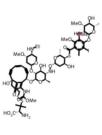 CCN[C@H]1CO[C@@H](O[C@H]2[C@H](O[C@H]3C#CC=CC#C[C@]4(O)CC(=O)C(NC(=O)OC)=C3/C4=C\CSSC(C)(C)[C@H](N)C(=O)O)O[C@H](C)[C@@H](NO[C@H]3C[C@H](O)[C@H](SC(=O)c4c(C)c(I)c(O[C@@H]5O[C@@H](C)[C@H](O)[C@@H](OC)[C@H]5O)c(OC)c4OC)[C@@H](C)O3)[C@@H]2O)C[C@@H]1OC